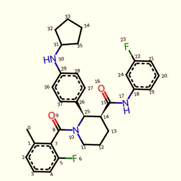 Cc1cccc(F)c1C(=O)N1CCC[C@H](C(=O)Nc2cccc(F)c2)[C@@H]1c1ccc(NC2CCCC2)cc1